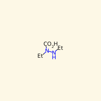 CCNN(CC)C(=O)O